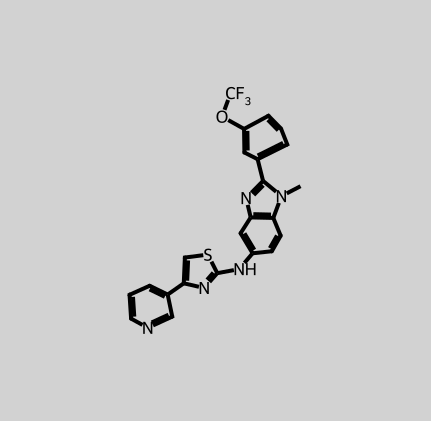 Cn1c(-c2cccc(OC(F)(F)F)c2)nc2cc(Nc3nc(-c4cccnc4)cs3)ccc21